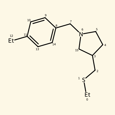 CCSCC1CCN(Cc2ccc(CC)cc2)C1